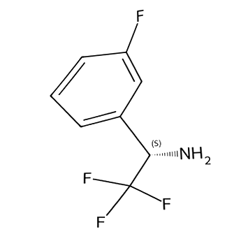 N[C@@H](c1cccc(F)c1)C(F)(F)F